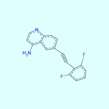 Nc1ccnc2ccc(C#Cc3c(F)cccc3F)cc12